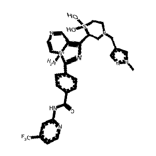 Cn1cc(CN2CCS(O)(O)C(C3=C4C=NC=C[N+]4(N)C(c4ccc(C(=O)Nc5cc(C(F)(F)F)ccn5)cc4)=N3)C2)cn1